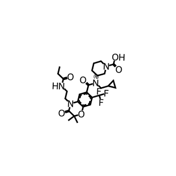 CCC(=O)NCCN1C(=O)C(C)(C)Oc2cc(C(F)(F)F)c(C(=O)N(CC3CC3)[C@@H]3CCCN(C(=O)O)C3)cc21